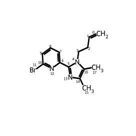 C=CCCn1c(-c2cccc(Br)n2)nc(C)c1C